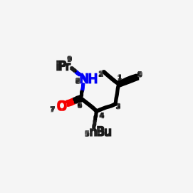 C=C(C)CC(CCCC)C(=O)NC(C)C